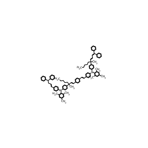 CCCCCC(C)(C=CC=C(c1ccccc1)c1ccccc1)c1ccc(N(c2ccc(C=Cc3ccc(C=CC(C)(CCCCC)c4ccc(N(c5ccc(C=CCC(c6ccccc6)c6ccccc6)cc5)c5c(C)cc(C)cc5C)cc4)cc3)cc2)c2c(C)cc(C)cc2C)cc1